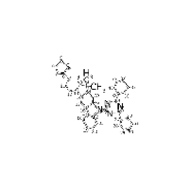 CC1(C)c2cc(-c3cccs3)ccc2-c2cc3c4ccccc4n(-c4nc(-c5ccccc5)nc(-c5ccccc5)n4)c3cc21